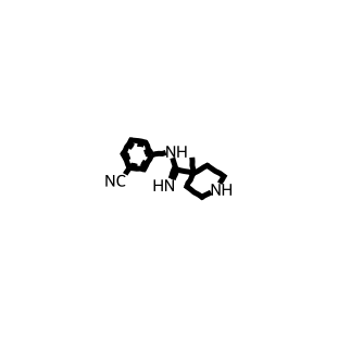 CC1(C(=N)Nc2cccc(C#N)c2)CCNCC1